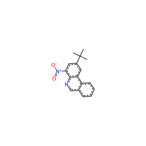 CC(C)(C)c1cc([N+](=O)[O-])c2ncc3ccccc3c2c1